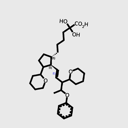 CC(Oc1ccccc1)C(/C=C/[C@H]1C(C2CCCCO2)CC[C@@H]1CCCCC(O)(O)C(=O)O)C1CCCCO1